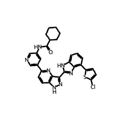 O=C(Nc1cncc(-c2ccc3[nH]nc(-c4nc5c(-c6ccc(Cl)s6)cccc5[nH]4)c3n2)c1)C1CCCCC1